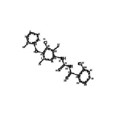 Cc1ccccc1Oc1c(C)cc(NC(=S)NC(=O)c2ccccc2Cl)c(C)c1Cl